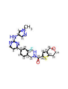 Cn1cc(Nc2nccc(-c3ccc(CNC(=O)c4cc5c(s4)CCOC5)c(F)c3)n2)cn1